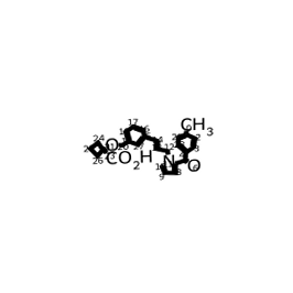 Cc1ccc(C(=O)c2cccn2C/C=C/c2cccc(COC3(C(=O)O)CCC3)c2)cc1